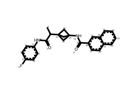 CC(C(=O)Nc1ccc(F)cc1)C12CC(NC(=O)c3ccc4ccccc4c3)(C1)C2